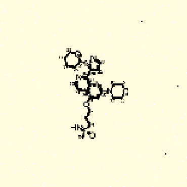 CS(=N)(=O)CCCOc1cc(N2CCOCC2)nc2c(-c3ccnn3C3CCCCO3)nccc12